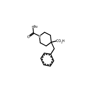 CCCCC(=O)N1CCC(Cc2ccccc2)(C(=O)O)CC1